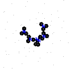 c1ccc(-n2c3ccccc3c3cc(-c4ccc5c(c4)c4ccccc4n5-c4ccc(-c5nc(-c6cccc7c(-n8c9ccccc9c9cc(-c%10ccc%11c(c%10)c%10ccccc%10n%11-c%10ccccc%10)ccc98)cccc67)nc6c5-c5cccc7cccc-6c57)cc4)ccc32)cc1